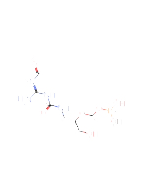 N/C(=N/C=O)NC(=O)NC[C@@H](CO)OCOP(O)O